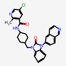 Cc1ncc(Cl)cc1C(=O)NC1CCC(Cn2c(=O)n(-c3ccc4cnccc4c3)c3ccccc32)CC1